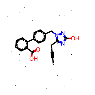 CC#CCc1nc(O)nn1Cc1ccc(-c2ccccc2C(=O)O)cc1